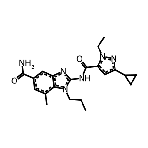 CCCn1c(NC(=O)c2cc(C3CC3)nn2CC)nc2cc(C(N)=O)cc(C)c21